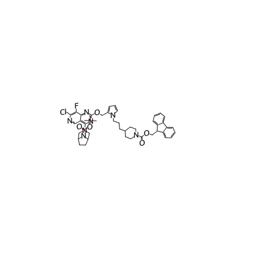 CC(C)(C)OC(=O)N1C2CCC1CN(c1nc(OCc3cccn3CCCC3CCN(C(=O)OCC4c5ccccc5-c5ccccc54)CC3)nc3c(F)c(Cl)ncc13)C2